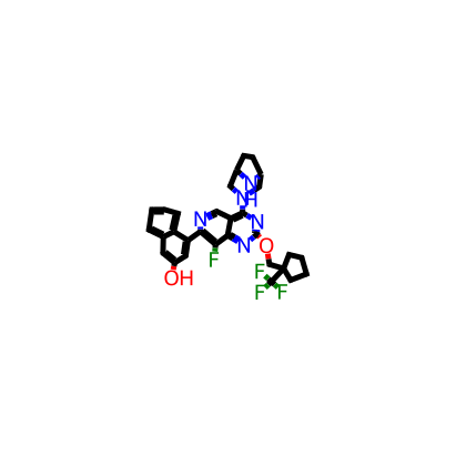 Oc1cc(-c2ncc3c(N4CC5CCC(C4)N5)nc(OCC4(C(F)(F)F)CCCC4)nc3c2F)c2ccccc2c1